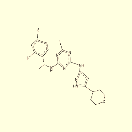 Cc1nc(Nc2cc(C3CCOCC3)[nH]n2)nc(NC(C)c2ccc(F)cc2F)n1